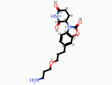 NCCCOCCCc1ccc2c(c1)oc(=O)n2C1CCC(=O)NC1=O